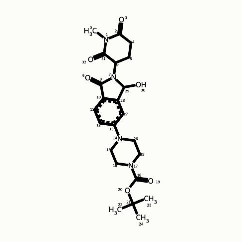 CN1C(=O)CCC(N2C(=O)c3ccc(N4CCN(C(=O)OC(C)(C)C)CC4)cc3C2O)C1=O